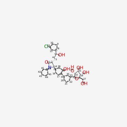 O=C1[C@H](CC[C@H](O)c2cccc(Cl)c2)[C@@H](c2ccc(-c3cccc([C@@H]4O[C@H](CO)[C@@H](O)[C@H](O)[C@H]4O)c3)c(O)c2)N1c1ccccc1